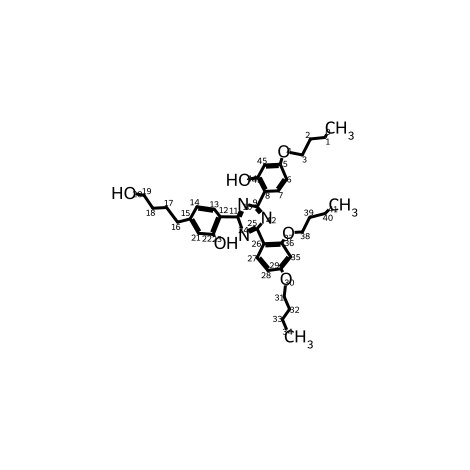 CCCCOc1ccc(-c2nc(-c3ccc(CCCCO)cc3O)nc(-c3ccc(OCCCC)cc3OCCCC)n2)c(O)c1